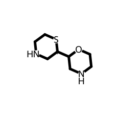 C1CS[C](C2CNCCO2)CN1